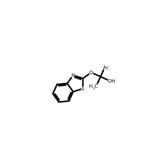 CC(=O)C(C)(O)Oc1nc2ccccc2s1